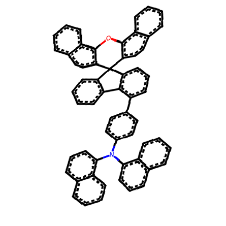 c1ccc2c(c1)-c1c(-c3ccc(N(c4cccc5ccccc45)c4cccc5ccccc45)cc3)cccc1C21c2ccc3ccccc3c2Oc2c1ccc1ccccc21